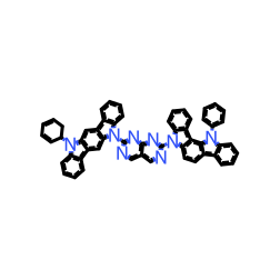 C1=CCC(n2c3ccccc3c3cc4c(cc32)c2ccccc2n4-c2ncc3cnc(-n4c5ccccc5c5c4ccc4c6ccccc6n(-c6ccccc6)c45)nc3n2)C=C1